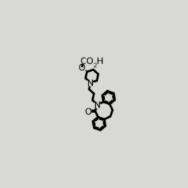 O=C(O)O[C@@H]1CCCN(CCCN2C(=O)c3ccccc3CCc3ccccc32)C1